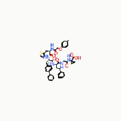 CC1C=CC(OCC(=O)N[C@H](CC2CC=CS2)C(=O)N[C@@H](Cc2ccc(-c3ccccc3)cc2)C(=O)N[C@H](CCc2ccccc2)C(=O)NCC(=O)NC2(C(=O)O)CC2)=CC1